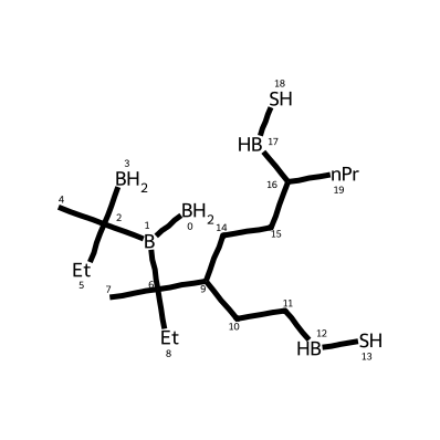 BB(C(B)(C)CC)C(C)(CC)C(CCBS)CCC(BS)CCC